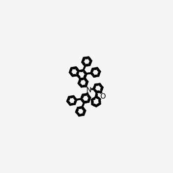 c1ccc(-c2ccc(N(c3ccc4c(c3)c(-c3ccccc3)c(-c3ccccc3)c3ccccc34)c3cccc4oc5ccccc5c34)cc2-c2ccccc2)cc1